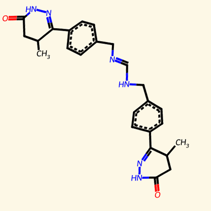 CC1CC(=O)NN=C1c1ccc(CN=CNCc2ccc(C3=NNC(=O)CC3C)cc2)cc1